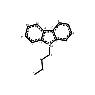 CCCCn1c2ccccc2c2ccccc21